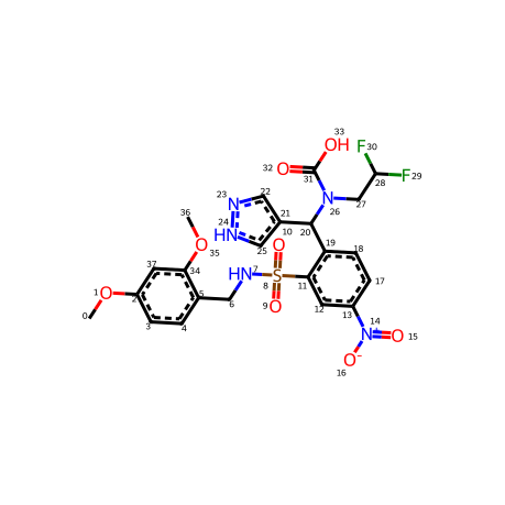 COc1ccc(CNS(=O)(=O)c2cc([N+](=O)[O-])ccc2C(c2cn[nH]c2)N(CC(F)F)C(=O)O)c(OC)c1